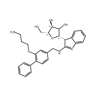 NCCCOc1cc(CNc2nc3ccccc3n2[C@@H]2O[C@H](CO)[C@@H](O)C2O)ccc1-c1ccccc1